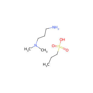 CCCS(=O)(=O)O.CN(C)CCCN